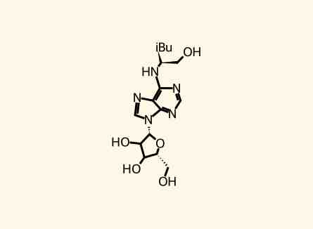 CC[C@H](C)[C@@H](CO)Nc1ncnc2c1ncn2[C@@H]1O[C@H](CO)C(O)C1O